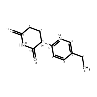 CCc1ccc([C@H]2CCC(=O)NC2=O)nc1